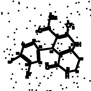 CC(C)(C)C(=O)C1=C(C(F)(F)F)NC2=C(C(=O)NCC2)C1c1ccc(F)c(Br)c1